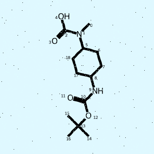 CN(C(=O)O)C1CCC(NC(=O)OC(C)(C)C)CC1